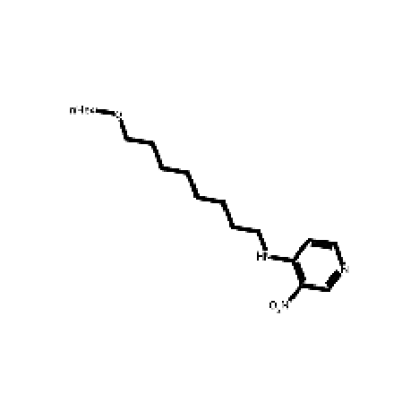 CCCCCCOCCCCCCCCNc1ccncc1[N+](=O)[O-]